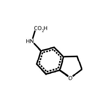 O=C(O)Nc1ccc2c(c1)CCO2